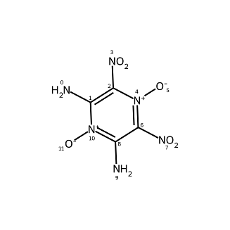 Nc1c([N+](=O)[O-])[n+]([O-])c([N+](=O)[O-])c(N)[n+]1[O-]